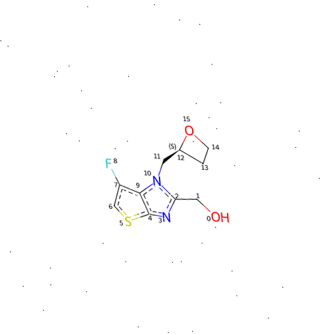 OCc1nc2scc(F)c2n1C[C@@H]1CCO1